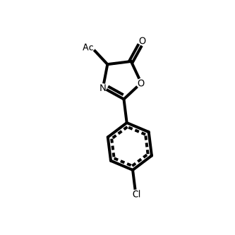 CC(=O)C1N=C(c2ccc(Cl)cc2)OC1=O